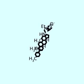 CCN(CCNC12CCC[C@@H]1C1CC[C@@H]3C4(C)CC=C(C5=CC[C@@H](C)CC5)C(C)C4CCC3(C)C1CC2)C12CC1C[S+]([O-])C2